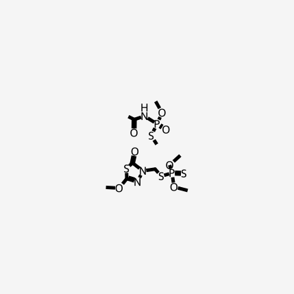 COP(=O)(NC(C)=O)SC.COc1nn(CSP(=S)(OC)OC)c(=O)s1